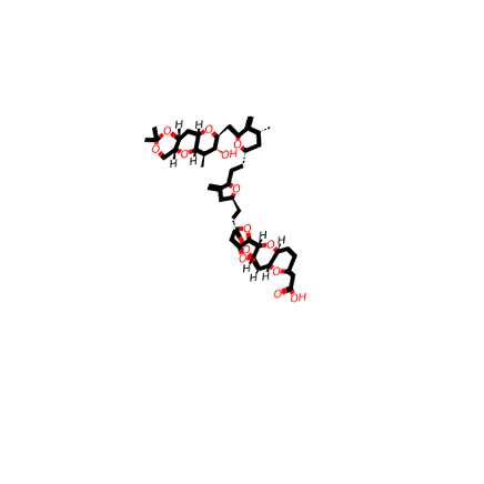 C=C1C[C@H](CC[C@@]23CC4O[C@H]5[C@@H](O2)[C@H]2OC(CC(=O)O)CC[C@@H]2O[C@H]5C4O3)OC1CC[C@H]1C[C@@H](C)C(=C)C(C[C@@H]2O[C@H]3C[C@H]4OC(C)(C)OC[C@H]4O[C@H]3[C@H](C)[C@H]2O)O1